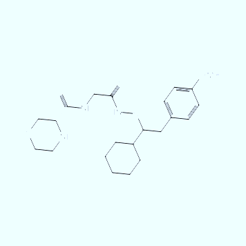 COc1ccc(CC(SNC(=O)[C@@H](C)NC(=O)[C@H]2CSCCN2)C2CCCCC2)cc1